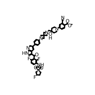 COC(=O)c1ccc(N2CCC(O)(CN3CC4(C3)CN(c3ccc(-c5cnc6[nH]cc(C(=O)c7c(F)ccc(NS(=O)(=O)N8CC[C@@H](F)C8)c7F)c6c5)cc3)C4)CC2)cc1C#N